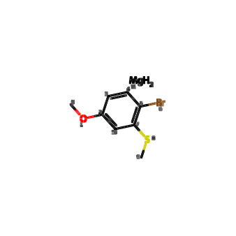 COc1ccc(Br)c(SC)c1.[MgH2]